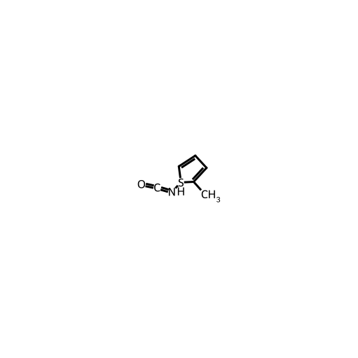 CC1=CC=C[SH]1N=C=O